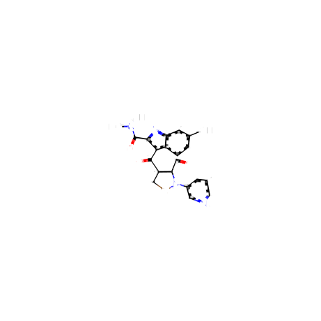 Cc1ccc2c(C(=O)C3CSN(c4cccnc4)C3C=O)c(C(=O)N(C)C)[nH]c2c1